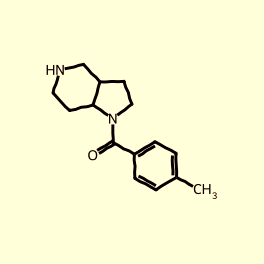 Cc1ccc(C(=O)N2CCC3CNCCC32)cc1